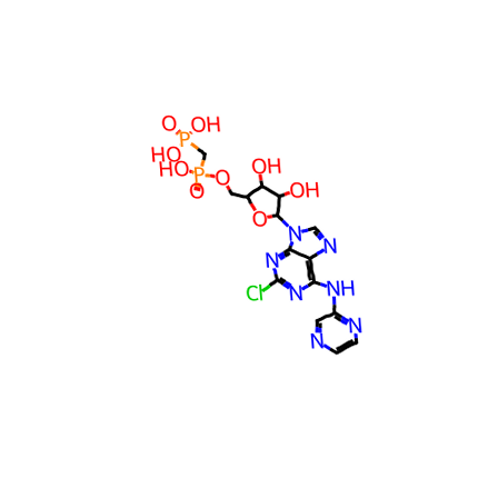 O=P(O)(O)CP(=O)(O)OCC1OC(n2cnc3c(Nc4cnccn4)nc(Cl)nc32)C(O)C1O